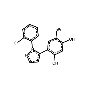 CCCc1cc(-c2ccnn2-c2ccccc2Cl)c(O)cc1O